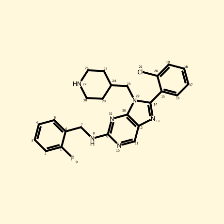 Fc1ccccc1CNc1ncc2nc(-c3ccccc3Cl)n(CC3CCNCC3)c2n1